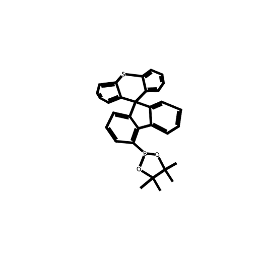 CC1(C)OB(c2cccc3c2-c2ccccc2C32c3ccccc3Sc3ccccc32)OC1(C)C